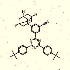 CC(C)(C)c1ccc(-c2nc(-c3ccc(C(C)(C)C)cc3)nc(-c3cc(C#N)cc(C45C[C@H]6C[C@@H](C4)C[C@@H](C5)C6)c3)n2)cc1